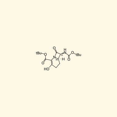 CC(C)(C)OC(=O)N[C@@H]1C(=O)N2C(C(=O)OC(C)(C)C)=C(O)CC[C@H]12